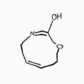 OC1=NCC=CCO1